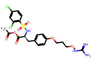 N=C(N)NOCCCOc1ccc(C[C@H](NS(=O)(=O)c2ccc(Cl)cc2Cl)C(=O)OC(=O)C(F)(F)F)cc1